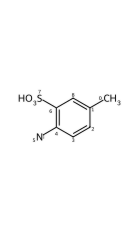 Cc1ccc([N])c(S(=O)(=O)O)c1